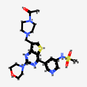 CC(C)C(=O)N1CCN(Cc2csc3c(-c4cncc(NS(C)(=O)=O)c4)nc(N4CCOCC4)nc23)CC1